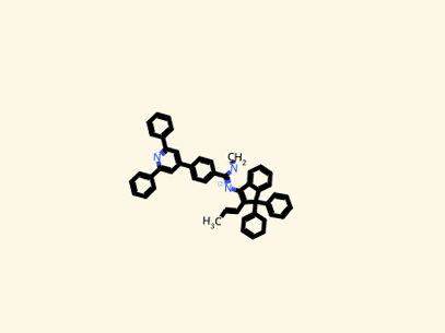 C=N/C(=N\C1=C(C=CC)C(C2=CC=CCC2)(c2ccccc2)c2ccccc21)c1ccc(-c2cc(-c3ccccc3)nc(-c3ccccc3)c2)cc1